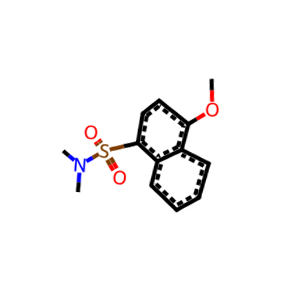 COc1ccc(S(=O)(=O)N(C)C)c2ccccc12